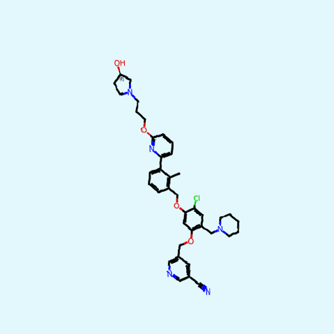 Cc1c(COc2cc(OCc3cncc(C#N)c3)c(CN3CCCCC3)cc2Cl)cccc1-c1cccc(OCCCN2CC[C@@H](O)C2)n1